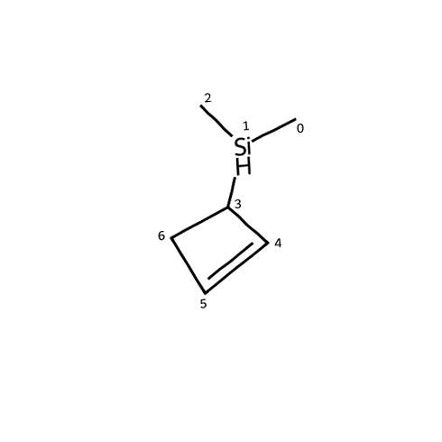 C[SiH](C)C1C=CC1